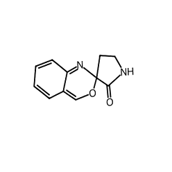 O=C1NCCC12N=c1ccccc1=CO2